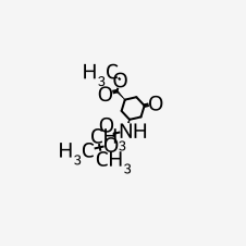 COC(=O)[C@H]1CC(=O)C[C@@H](NC(=O)OC(C)(C)C)C1